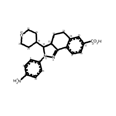 Nc1ccc(N2N=C3c4ccc(C(=O)O)cc4CCC3C2C2CCOCC2)cc1